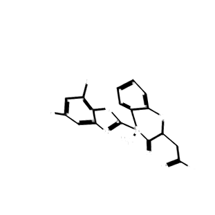 C[N+]1(c2nc3cc(F)cc(F)c3s2)C(=O)C(CC(=O)O)Oc2ccccc21